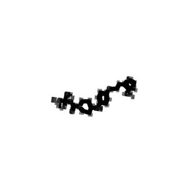 Cc1ncsc1CCOc1ccc(NC2CCN(C(=O)OC(C)(C)C)CC2)cc1